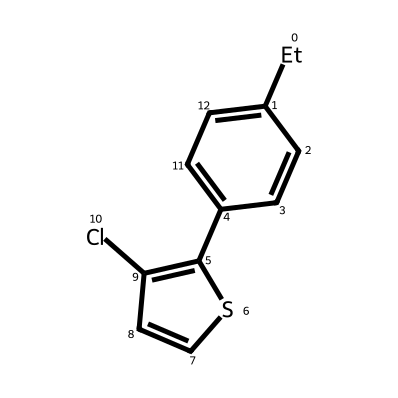 CCc1ccc(-c2sccc2Cl)cc1